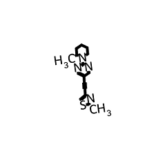 Cc1nc(C#Cc2cnc(N3CCCCC3C)nc2)cs1